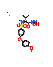 COc1ccc(Oc2ccc(S(=O)(=O)N(C)[C@@H](C(=O)NO)C(C)C)cc2)cc1